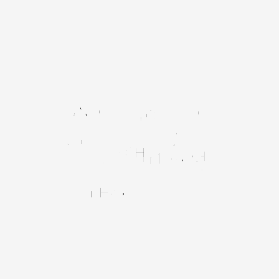 CCCCCCC(C)ON=O.CCCCCCP(=O)(O)OCC